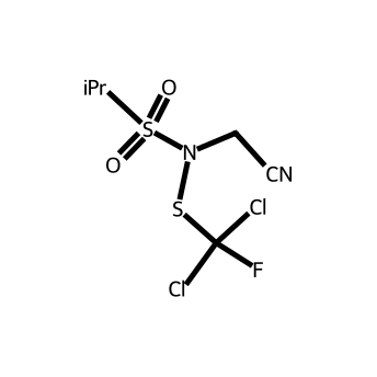 CC(C)S(=O)(=O)N(CC#N)SC(F)(Cl)Cl